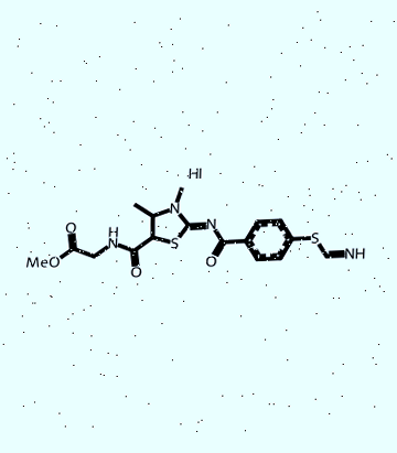 COC(=O)CNC(=O)C1SC(=NC(=O)c2ccc(SC=N)cc2)N(C)C1C.I